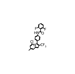 Cc1cc(Cl)n2c(-c3ccc(NC(=O)c4c(F)cccc4F)cc3)c(C(F)(F)F)cc2c1